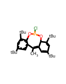 C/C1=C2\C=C(C(C)(C)C)C=C(C(C)(C)C)C2OP(Cl)Oc2c1cc(C(C)(C)C)cc2C(C)(C)C